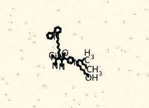 [C-]#[N+]/C(C#N)=C1/C(C#N)=C(c2ccc(N(CCCCCCO)CC(CC)CCCC)cc2)C(=O)N1CCCCCCn1c2ccccc2c2ccccc21